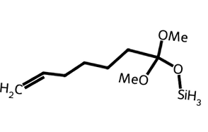 C=CCCCCC(OC)(OC)O[SiH3]